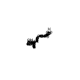 CCc1cccc2cc(O)cc(-c3ncc4c(N5CC6CCC(C5)N6)nc(OCC5(CN6CCC(OC7CC8(CCN(c9ccc%10c(c9)CN(C9CCC(=O)NC9=O)C%10=O)CC8)C7)CC6)CC5)nc4c3F)c12